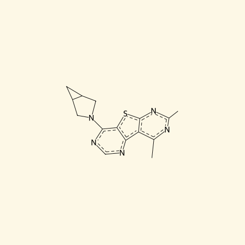 Cc1nc(C)c2c(n1)sc1c(N3CC4CC4C3)ncnc12